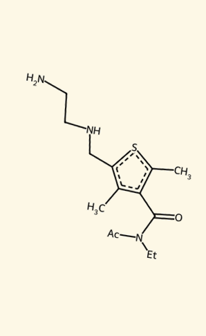 CCN(C(C)=O)C(=O)c1c(C)sc(CNCCN)c1C